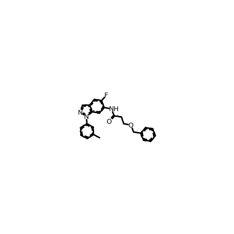 Cc1cccc(-n2ncc3cc(F)c(NC(=O)CCOCc4ccccc4)cc32)c1